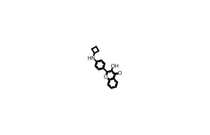 O=c1c(O)c(-c2ccc(NC3CCC3)cc2)oc2ccccc12